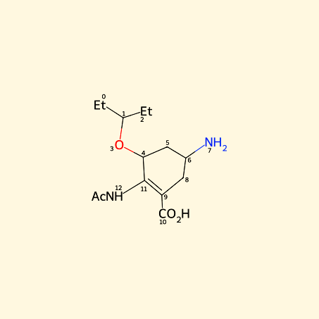 CCC(CC)OC1CC(N)CC(C(=O)O)=C1NC(C)=O